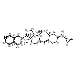 C[C@]12CC=C3C=C4CC[C@H](NC5CC5)CC4CC[C@]3(O)[C@@H]1CCC2c1ccc2ccncc2c1